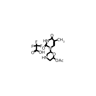 CC(=O)OC1CNCC(n2cc(C)c(=O)[nH]c2=O)O1.O=C(O)C(F)(F)F